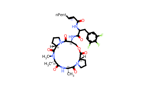 CCCCC/C=C/C(=O)NC(Cc1cc(F)c(F)c(F)c1)C(=O)N[C@H]1COC(=O)[C@@H]2CCCN2C(=O)[C@H](C)NC(=O)[C@H](C)N(C)C(=O)[C@@H]2CCCN2C1=O